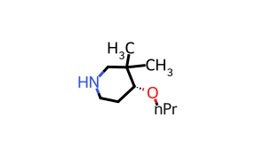 CCCO[C@@H]1CCNCC1(C)C